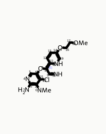 CNc1c(N)ncc(O/C(C=N)=C2\C=CC(OCCOC)=CN2)c1Cl